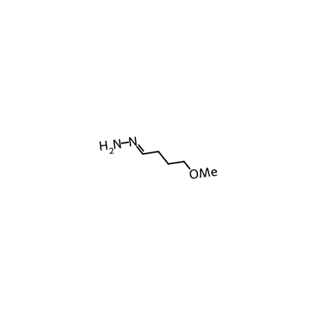 COCCC/C=N/N